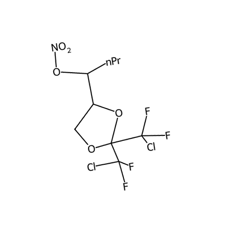 CCCC(O[N+](=O)[O-])C1COC(C(F)(F)Cl)(C(F)(F)Cl)O1